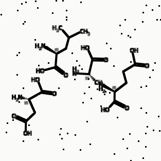 CC(C)C[C@H](N)C(=O)O.C[C@H](N)C(=O)O.N[C@@H](CC(=O)O)C(=O)O.N[C@@H](CCC(=O)O)C(=O)O